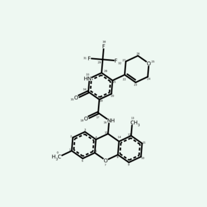 Cc1ccc2c(c1)Oc1cccc(C)c1C2NC(=O)c1cc(C2=CCOCC2)c(C(F)(F)F)[nH]c1=O